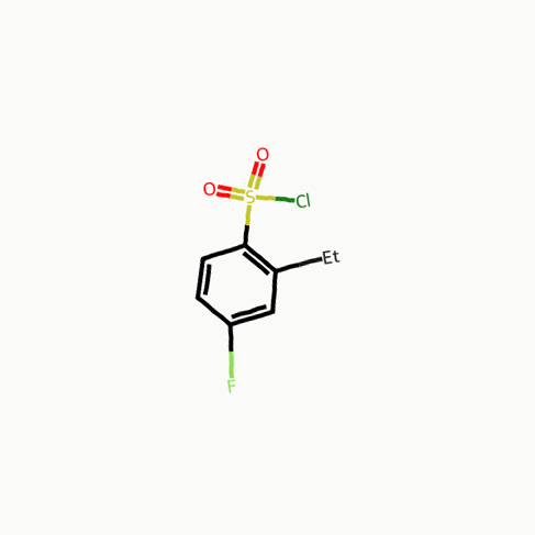 CCc1cc(F)ccc1S(=O)(=O)Cl